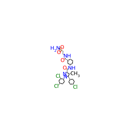 Cc1c(C(=O)Nc2cccc(C(=O)NCCS(N)(=O)=O)c2)nn(-c2ccc(Cl)cc2Cl)c1-c1ccc(Cl)cc1